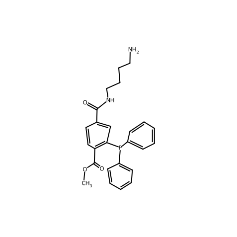 COC(=O)c1ccc(C(=O)NCCCCN)cc1P(c1ccccc1)c1ccccc1